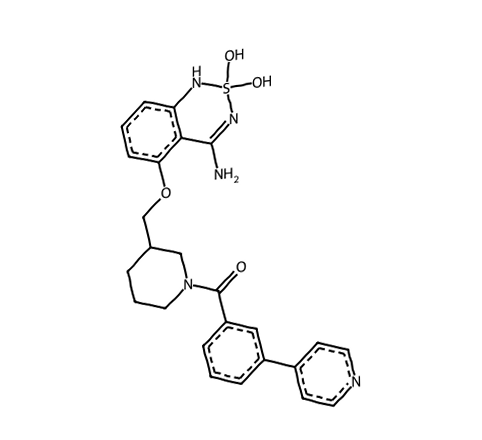 NC1=NS(O)(O)Nc2cccc(OCC3CCCN(C(=O)c4cccc(-c5ccncc5)c4)C3)c21